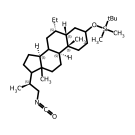 CC[C@H]1CC2[C@@H]3CCC([C@H](C)CN=C=O)C3(C)CC[C@@H]2[C@@]2(C)CCC(O[Si](C)(C)C(C)(C)C)C[C@@H]12